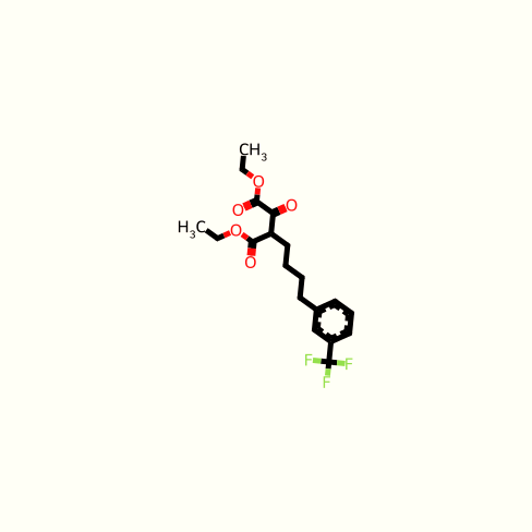 CCOC(=O)C(=O)C(CCCCc1cccc(C(F)(F)F)c1)C(=O)OCC